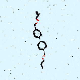 C=CCOCC1CCC([C@H]2CC[C@H](COCCC)CC2)CC1